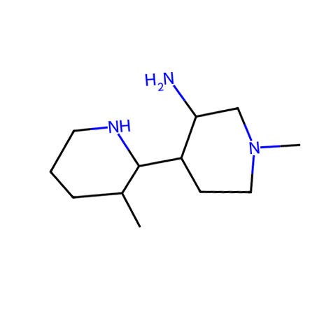 CC1CCCNC1C1CCN(C)CC1N